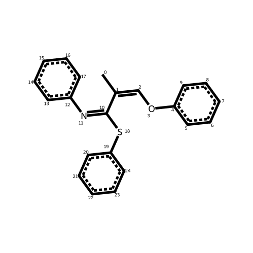 CC(=COc1ccccc1)C(=Nc1ccccc1)Sc1ccccc1